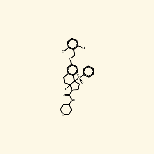 O=C(NC1CCOCC1)N1CC[C@@]2(S(=O)(=O)c3ccccc3)c3ccc(OCc4c(Cl)cccc4Cl)cc3CC[C@@H]12